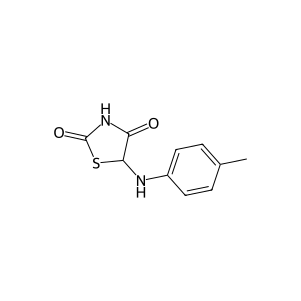 Cc1ccc(NC2SC(=O)NC2=O)cc1